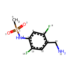 CS(=O)(=O)Nc1cc(F)c(CN)cc1F